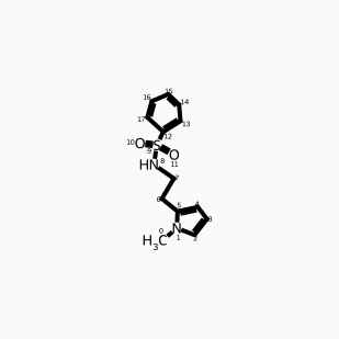 Cn1cccc1CCNS(=O)(=O)c1ccccc1